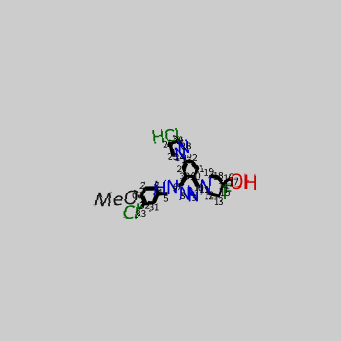 COc1ccc(CNc2nnc(N3CCC(F)(CO)CC3)c3ccc(-n4cccn4)cc23)cc1Cl.Cl